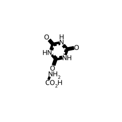 NC(=O)O.O=c1[nH]c(=O)[nH]c(=O)[nH]1